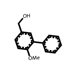 COc1ccc(CO)cc1-c1ccccc1